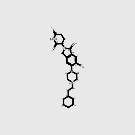 O=C1CCC(N2Cc3cc(N4CCN(CCC5CCCCC5)CC4)c(F)cc3C2=O)C(=O)N1